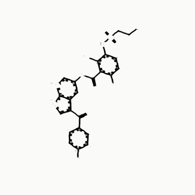 CCCS(=O)(=O)Nc1ccc(F)c(C(=O)Nc2cnc3[nH]cc(C(=O)c4ccc(Cl)cc4)c3c2)c1F